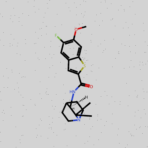 COc1cc2sc(C(=O)N[C@@H]3C4CCN(CC4)C3(C)C)cc2cc1F